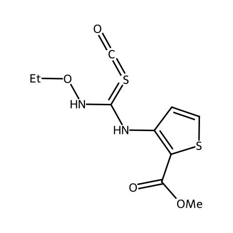 CCONC(Nc1ccsc1C(=O)OC)=S=C=O